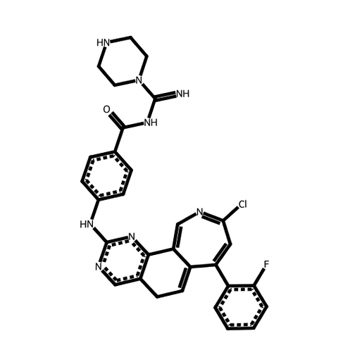 N=C(NC(=O)c1ccc(Nc2ncc3c(n2)C2=CN=C(Cl)C=C(c4ccccc4F)C2=CC3)cc1)N1CCNCC1